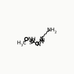 Cc1cccc(Nc2nc(-c3ccnc(-c4cn(CCCCCCN)nn4)c3)cs2)c1